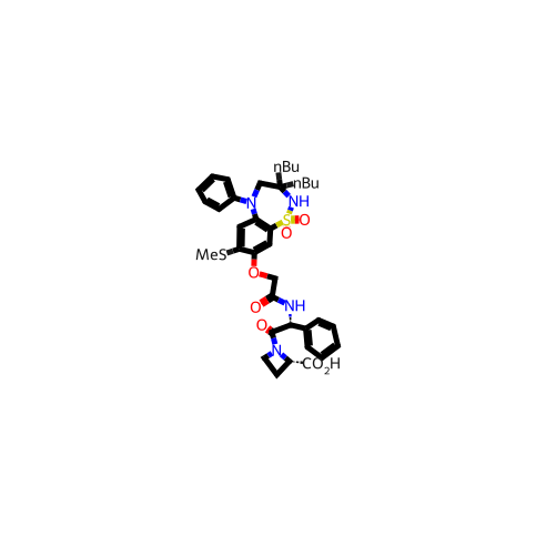 CCCCC1(CCCC)CN(c2ccccc2)c2cc(SC)c(OCC(=O)N[C@@H](C(=O)N3CC[C@H]3C(=O)O)c3ccccc3)cc2S(=O)(=O)N1